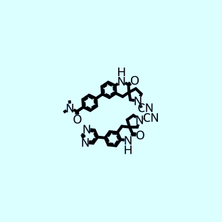 CN(C)C(=O)c1ccc(-c2ccc3c(c2)CC2(CCN(C#N)C2)C(=O)N3)cc1.N#CN1CCC2(Cc3cc(-c4cncnc4)ccc3NC2=O)C1